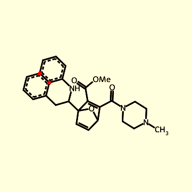 COC(=O)C1=C(C(=O)N2CCN(C)CC2)C2C=CC1(C(Cc1ccccc1)Nc1ccccc1)O2